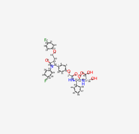 O=C(COc1ccc(C2C(CCOc3ccc(F)cc3)C(=O)N2c2ccc(F)cc2)cc1)N[C@@H](C(=O)N[C@@H](CO)C(=O)O)c1ccccc1